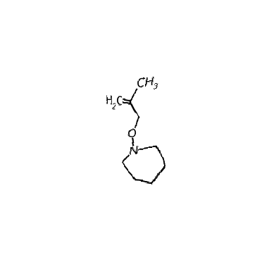 C=C(C)CON1CCCCC1